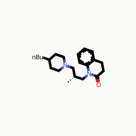 CCCCC1CCN(C[C@@H](C)CN2C(=O)CCc3ccccc32)CC1